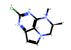 C[C@H]1Cn2ccc3nc(Cl)nc(c32)N1C